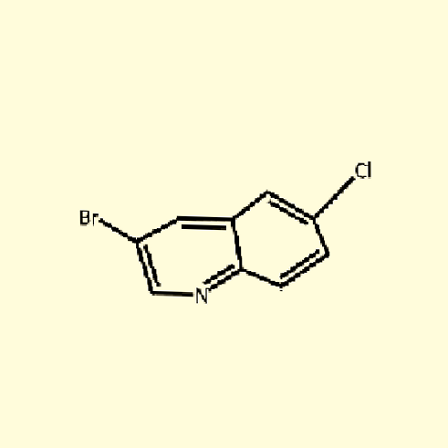 Clc1c[c]c2ncc(Br)cc2c1